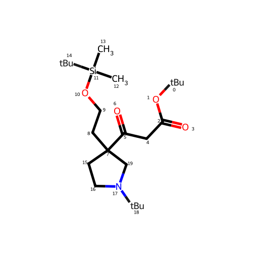 CC(C)(C)OC(=O)CC(=O)C1(CCO[Si](C)(C)C(C)(C)C)CCN(C(C)(C)C)C1